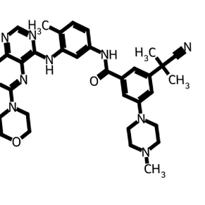 Cc1ccc(NC(=O)c2cc(N3CCN(C)CC3)cc(C(C)(C)C#N)c2)cc1Nc1ncnc2cnc(N3CCOCC3)nc12